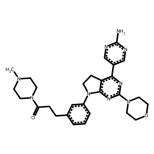 CN1CCN(C(=O)CCc2cccc(N3CCc4c(-c5cnc(N)nc5)nc(N5CCOCC5)nc43)c2)CC1